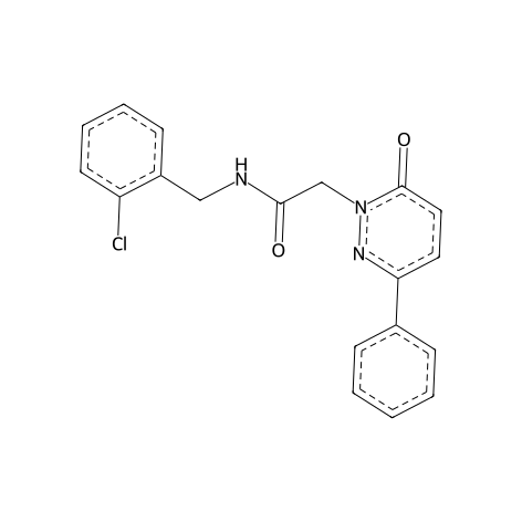 O=C(Cn1nc(-c2ccccc2)ccc1=O)NCc1ccccc1Cl